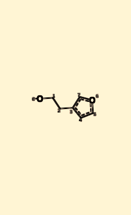 [O]CCc1ccoc1